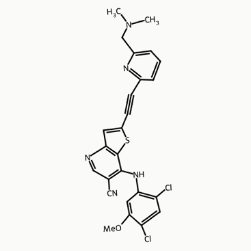 COc1cc(Nc2c(C#N)cnc3cc(C#Cc4cccc(CN(C)C)n4)sc23)c(Cl)cc1Cl